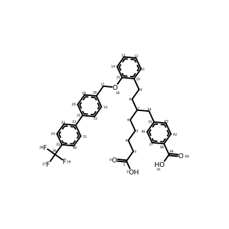 O=C(O)CCCCC(CCc1ccccc1OCc1ccc(-c2ccc(C(F)(F)F)cc2)cc1)Cc1ccc(C(=O)O)cc1